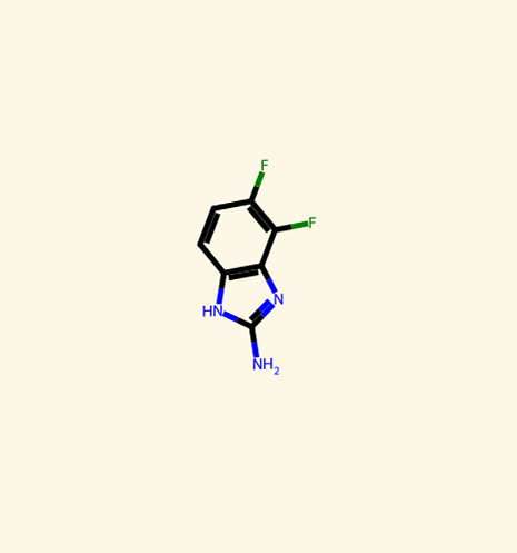 Nc1nc2c(F)c(F)ccc2[nH]1